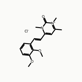 COc1cccc(/C=C/c2cc(C)[n+](C)c(=O)n2C)c1OC.[Cl-]